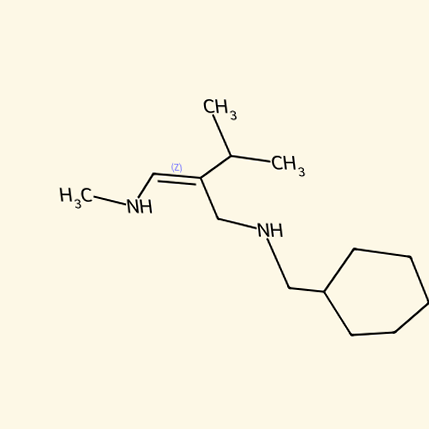 CN/C=C(\CNCC1CCCCC1)C(C)C